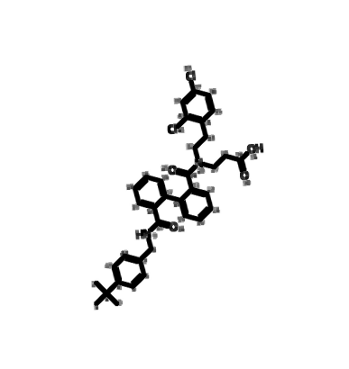 CC(C)(C)c1ccc(CNC(=O)c2ccccc2-c2ccccc2C(=O)N(CCC(=O)O)CCc2ccc(Cl)cc2Cl)cc1